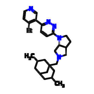 CCc1ccncc1-c1ccc(N2CCC3CN(CC45CC(C)CC(CC(C)C4)C5)CC32)nn1